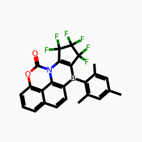 Cc1cc(C)c(B2C3=C(N4C(=O)Oc5cccc6ccc2c4c56)C(F)(F)C(F)(F)C3(F)F)c(C)c1